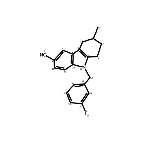 CC1CCc2c(c3cc(C#N)ccc3n2Cc2cccc(F)c2)C1